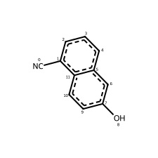 N#Cc1cccc2cc(O)ccc12